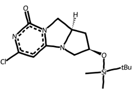 CC(C)(C)[Si](C)(C)O[C@@H]1C[C@@H]2Cn3c(cc(Cl)nc3=O)N2C1